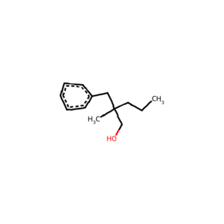 CCCC(C)(CO)Cc1ccccc1